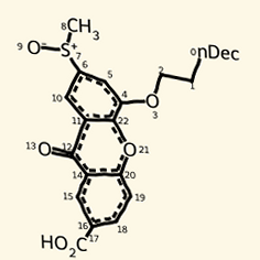 CCCCCCCCCCCCOc1cc([S+](C)[O-])cc2c(=O)c3cc(C(=O)O)ccc3oc12